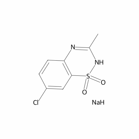 CC1=Nc2ccc(Cl)cc2S(=O)(=O)N1.[NaH]